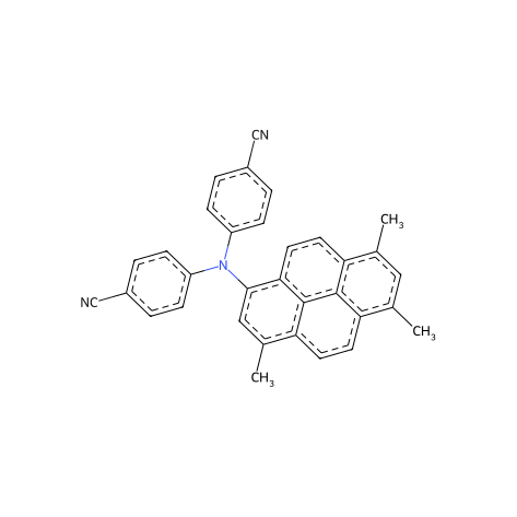 Cc1cc(C)c2ccc3c(N(c4ccc(C#N)cc4)c4ccc(C#N)cc4)cc(C)c4ccc1c2c43